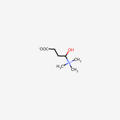 C[N+](C)(C)C(O)CCC(=O)[O-]